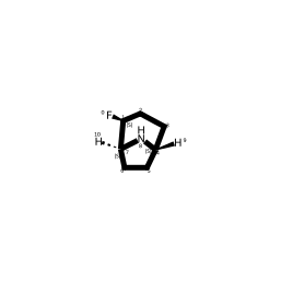 F[C@H]1CC[C@@H]2CC[C@@H]1N2